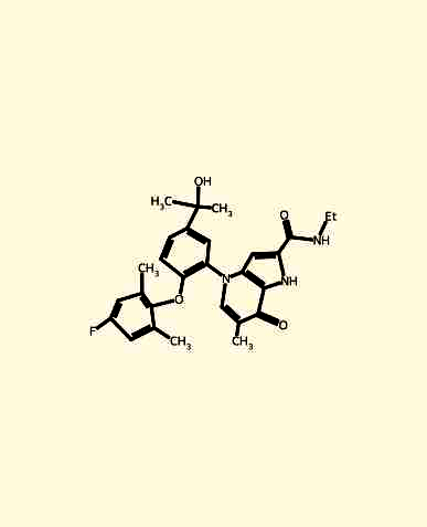 CCNC(=O)c1cc2c([nH]1)c(=O)c(C)cn2-c1cc(C(C)(C)O)ccc1Oc1c(C)cc(F)cc1C